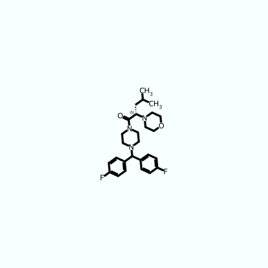 CC(C)C[C@@H](C(=O)N1CCN(C(c2ccc(F)cc2)c2ccc(F)cc2)CC1)N1CCOCC1